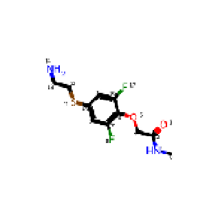 CNC(=O)COc1c(F)cc(SCCN)cc1F